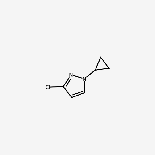 Clc1ccn(C2CC2)n1